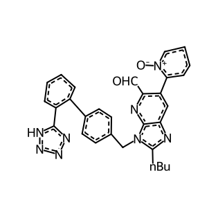 CCCCc1nc2cc(-c3cccc[n+]3[O-])c(C=O)nc2n1Cc1ccc(-c2ccccc2-c2nnn[nH]2)cc1